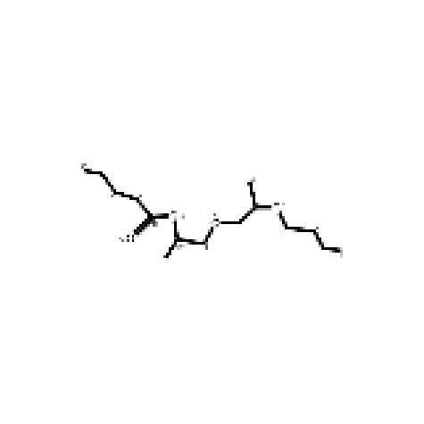 CCCCOC(C)COCC(C)OC(=O)CCCC